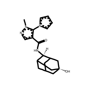 Cn1ncc(C(=O)N[C@H]2C3CC4CC2C[C@](O)(C4)C3)c1-n1cccc1